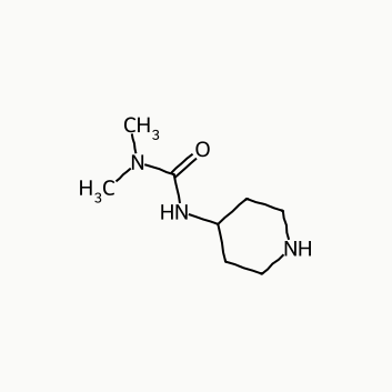 CN(C)C(=O)NC1CCNCC1